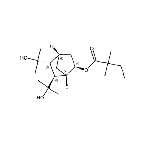 CCC(C)(C)C(=O)O[C@@H]1C[C@@H]2C[C@H]1[C@@H](C(C)(C)O)[C@@H]2C(C)(C)O